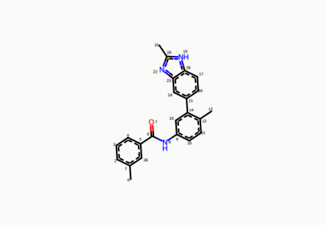 Cc1cccc(C(=O)Nc2ccc(C)c(-c3ccc4[nH]c(C)nc4c3)c2)c1